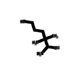 CC(C)(CCCO)C(N)O